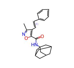 Cc1noc(C(=O)NC23CC4CC(CC(C4)C2)C3)c1/C=C/c1ccccc1